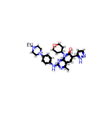 CCN1CCN(c2ccc(Nc3nc(C)c4cc(-c5ccn[nH]5)c(=O)n(C5CCOCC5)c4n3)cc2)CC1